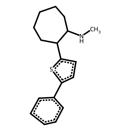 CNC1CCCCCC1c1ccc(-c2ccccc2)s1